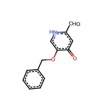 O=Cc1cc(=O)c(OCc2ccccc2)c[nH]1